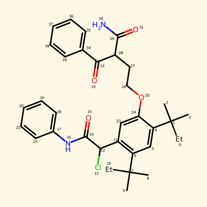 CCC(C)(C)c1cc(C(C)(C)CC)c(C(Cl)C(=O)Nc2ccccc2)cc1OCCC(C(N)=O)C(=O)c1ccccc1